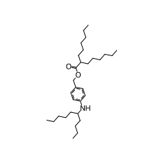 CCCCCCC(CCCCCC)C(=O)OCc1ccc(NC(CCCC)CCCCC)cc1